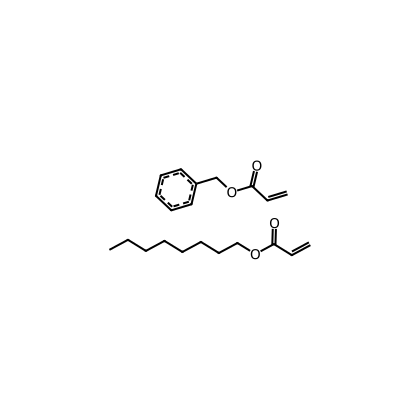 C=CC(=O)OCCCCCCCC.C=CC(=O)OCc1ccccc1